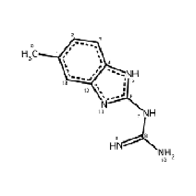 Cc1ccc2[nH]c(NC(=N)N)nc2c1